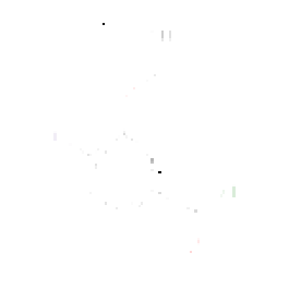 CCOc1cc(C(=O)Cl)c(Cl)cc1I